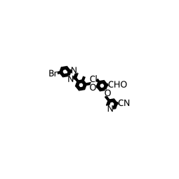 Cc1c(COc2cc(OCc3cncc(C#N)c3)c(C=O)cc2Cl)cccc1-c1cnc2ccc(Br)cc2n1